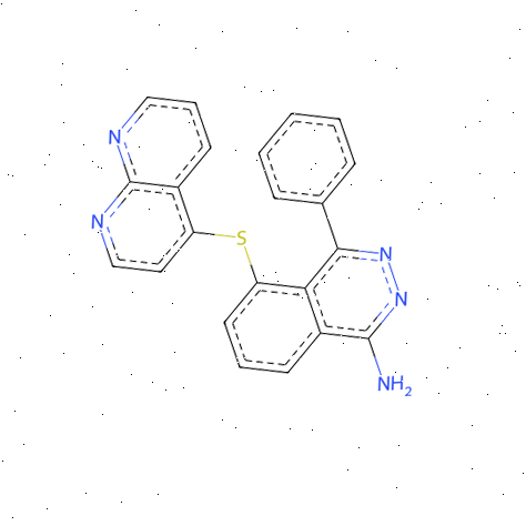 Nc1nnc(-c2ccccc2)c2c(Sc3ccnc4ncccc34)cccc12